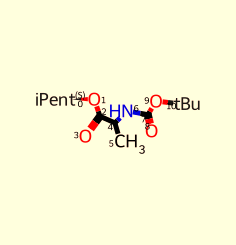 CCC[C@H](C)OC(=O)C(C)NC(=O)OC(C)(C)C